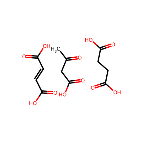 CC(=O)CC(=O)O.O=C(O)/C=C/C(=O)O.O=C(O)CCC(=O)O